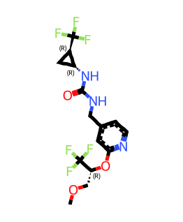 COC[C@@H](Oc1cc(CNC(=O)N[C@@H]2C[C@H]2C(F)(F)F)ccn1)C(F)(F)F